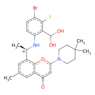 Cc1cc([C@@H](C)Nc2ccc(Br)c(F)c2C(O)O)c2oc(N3CCC(C)(C)CC3)cc(=O)c2c1